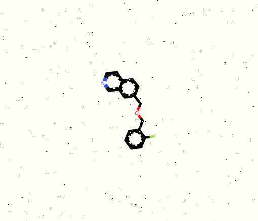 Fc1ccccc1COCc1ccc2ccncc2c1